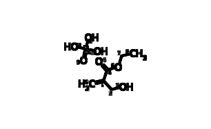 C=C(CO)C(=O)OCC.O=P(O)(O)O